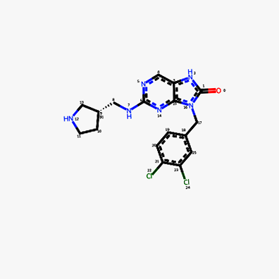 O=c1[nH]c2cnc(NC[C@@H]3CCNC3)nc2n1Cc1ccc(Cl)c(Cl)c1